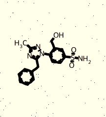 Cc1nc(Cc2ccccc2)n(-c2ccc(S(N)(=O)=O)cc2CO)n1